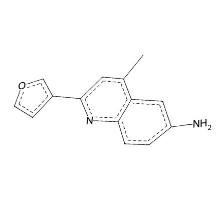 Cc1cc(-c2ccoc2)nc2ccc(N)cc12